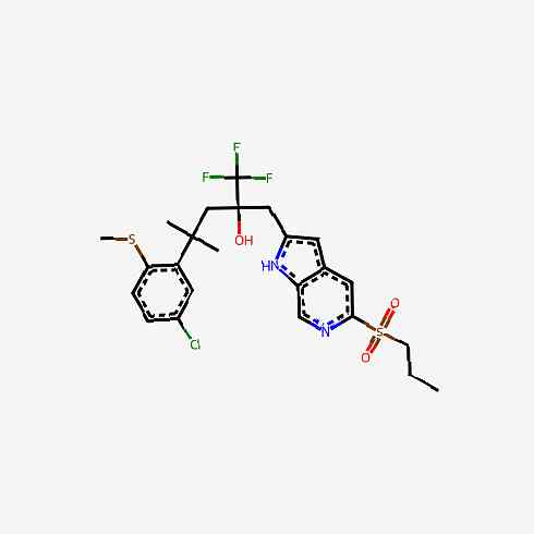 CCCS(=O)(=O)c1cc2cc(CC(O)(CC(C)(C)c3cc(Cl)ccc3SC)C(F)(F)F)[nH]c2cn1